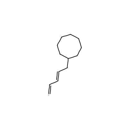 [CH]=CC=CCC1CCCCCCC1